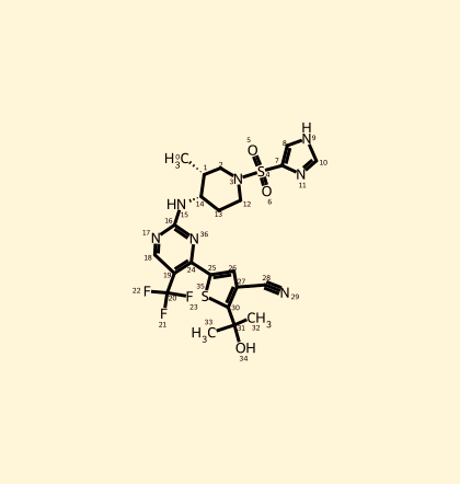 C[C@@H]1CN(S(=O)(=O)c2c[nH]cn2)CC[C@@H]1Nc1ncc(C(F)(F)F)c(-c2cc(C#N)c(C(C)(C)O)s2)n1